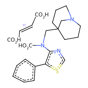 O=C(O)/C=C/C(=O)O.O=C(O)N(CC12CCCN(CCC1)C2)c1ncsc1-c1ccccc1